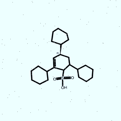 O=S(=O)(O)C1C(C2CCCCC2)=C[C@@H](C2CCCCC2)CC1C1CCCCC1